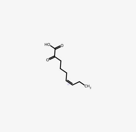 CC/C=C\CCCC(=O)C(=O)O